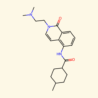 CC1CCC(C(=O)Nc2cccc3c(=O)n(CCN(C)C)ccc23)CC1